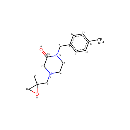 CC1(CN2CCN(Cc3ccc(C(F)(F)F)cc3)C(=O)C2)CO1